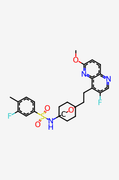 COc1ccc2ncc(F)c(CCC34CCC(NS(=O)(=O)c5ccc(C)c(F)c5)(CC3)CO4)c2n1